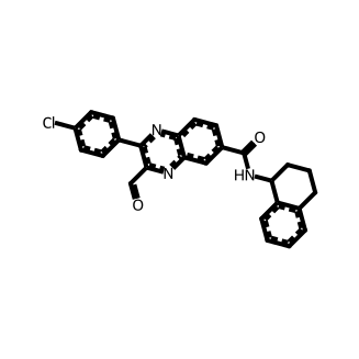 O=Cc1nc2cc(C(=O)NC3CCCc4ccccc43)ccc2nc1-c1ccc(Cl)cc1